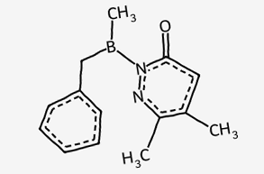 CB(Cc1ccccc1)n1nc(C)c(C)cc1=O